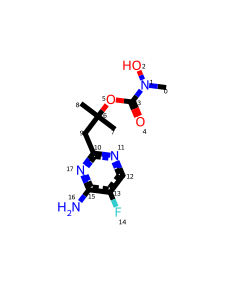 CN(O)C(=O)OC(C)(C)Cc1ncc(F)c(N)n1